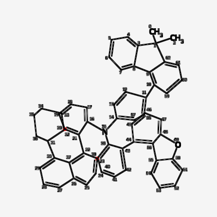 CC1(C)c2ccccc2-c2c(-c3ccc(N(c4ccccc4-c4cccc5cccc(C6CCCCC6)c45)c4ccccc4-c4cccc5oc6ccccc6c45)cc3)cccc21